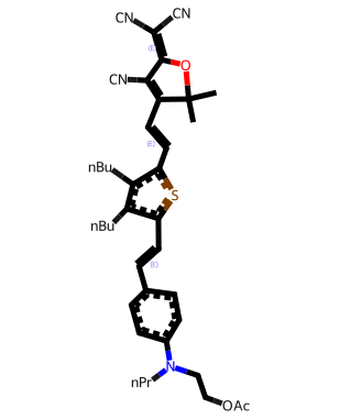 [C-]#[N+]C1=C(/C=C/c2sc(/C=C/c3ccc(N(CCC)CCOC(C)=O)cc3)c(CCCC)c2CCCC)C(C)(C)O/C1=C(\C#N)[N+]#[C-]